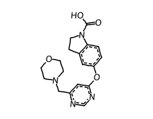 O=C(O)N1CCc2cc(Oc3cc(CN4CCOCC4)ncn3)ccc21